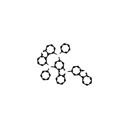 c1ccc(N2c3cc(c4c5ccccc5n(-c5ccc6oc7ccccc7c6c5)c4c3)N(c3ccccc3)c3cccc4sc5cccc2c5c34)cc1